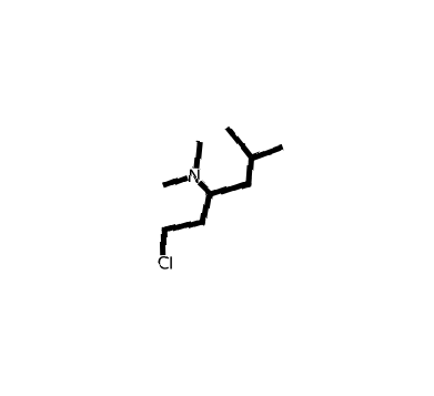 CC(C)CC(CCCl)N(C)C